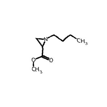 CCCCN1CC1C(=O)OC